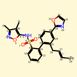 Cc1noc(NS(=O)(=O)c2ccccc2-c2ccc(-c3ncco3)cc2C/C=C/C(C)C)c1C